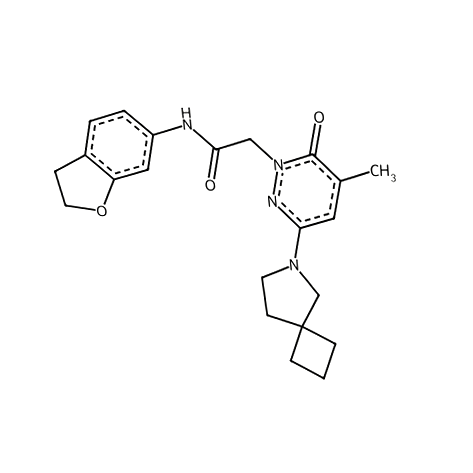 Cc1cc(N2CCC3(CCC3)C2)nn(CC(=O)Nc2ccc3c(c2)OCC3)c1=O